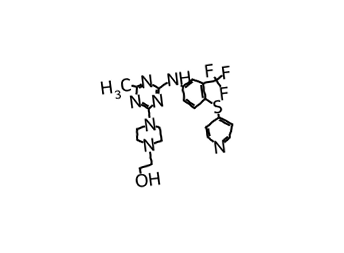 Cc1nc(Nc2ccc(Sc3ccncc3)c(C(F)(F)F)c2)nc(N2CCN(CCO)CC2)n1